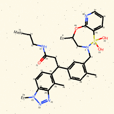 CCC1CN(Cc2cc(C(CC(=O)NCCNC)c3ccc4c(nnn4CC)c3C)ccc2C)S(O)(O)c2cccnc2O1